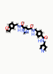 O=C(NCc1ccncc1)c1ccc(CNC(=O)c2cc(C(=O)NCc3ccc4c(c3)CCO4)ncn2)cc1